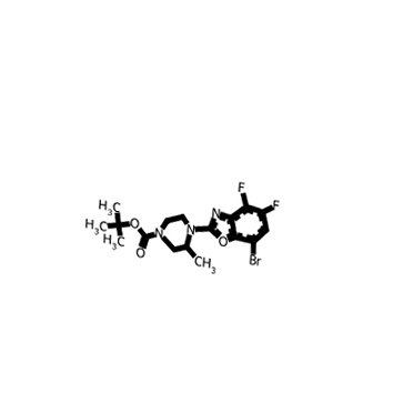 CC1CN(C(=O)OC(C)(C)C)CCN1c1nc2c(F)c(F)cc(Br)c2o1